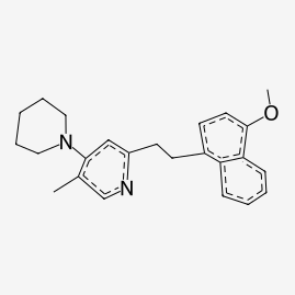 COc1ccc(CCc2cc(N3CCCCC3)c(C)cn2)c2ccccc12